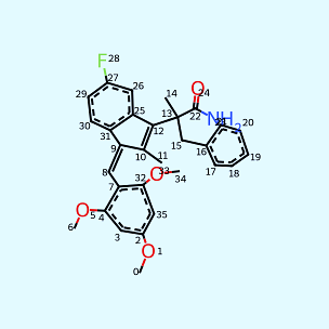 COc1cc(OC)c(C=C2C(C)=C(C(C)(Cc3ccccc3)C(N)=O)c3cc(F)ccc32)c(OC)c1